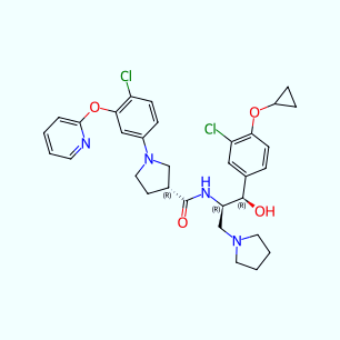 O=C(N[C@H](CN1CCCC1)[C@H](O)c1ccc(OC2CC2)c(Cl)c1)[C@@H]1CCN(c2ccc(Cl)c(Oc3ccccn3)c2)C1